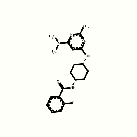 Cc1nc(N[C@H]2CC[C@@H](NC(=O)c3ccccc3F)CC2)cc(N(C)C)n1